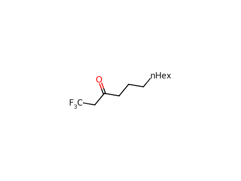 CCCCCCCCCC(=O)CC(F)(F)F